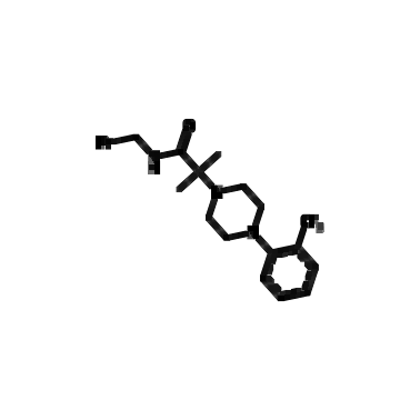 CC(C)CNC(=O)C(C)(C)N1CCN(c2ccccc2C(F)(F)F)CC1